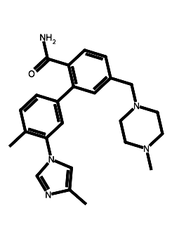 Cc1cn(-c2cc(-c3cc(CN4CCN(C)CC4)ccc3C(N)=O)ccc2C)cn1